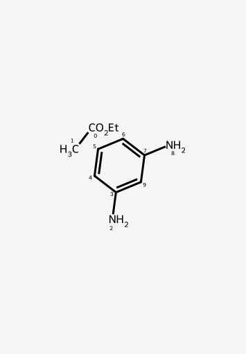 CCOC(C)=O.Nc1cccc(N)c1